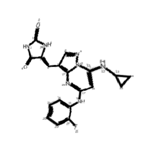 O=C1NC(=O)/C(=C/c2cnn3c(NC4CC4)cc(Nc4ccccc4F)nc23)N1